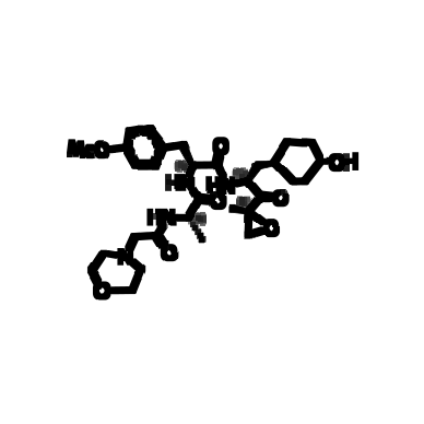 COc1ccc(C[C@H](NC(=O)[C@H](C)NC(=O)CN2CCOCC2)C(=O)N[C@@H](C[C@H]2CC[C@H](O)CC2)C(=O)[C@@]2(C)CO2)cc1